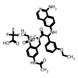 CCOc1cccc(C(Nc2ccc3c(N)nccc3c2)C(=O)N(C)Cc2cc(NC(C)=O)ccc2S(=O)(=O)CC)c1.O=C(O)C(F)(F)F